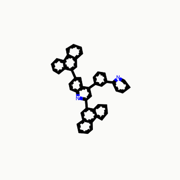 c1ccc(-c2cccc(-c3cc(-c4cc5ccccc5c5ccccc45)nc4ccc(-c5cc6ccccc6c6ccccc56)cc34)c2)nc1